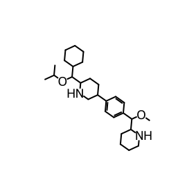 COC(c1ccc(C2CCC(C(OC(C)C)C3CCCCC3)NC2)cc1)C1CCCCN1